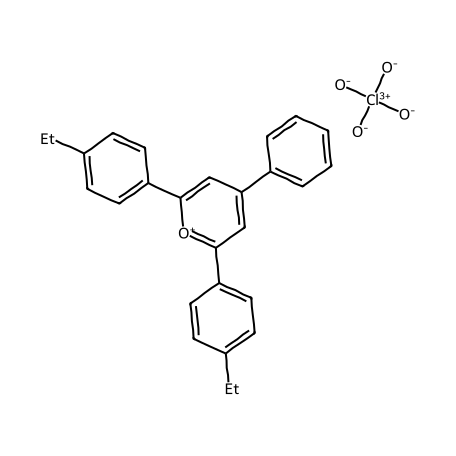 CCc1ccc(-c2cc(-c3ccccc3)cc(-c3ccc(CC)cc3)[o+]2)cc1.[O-][Cl+3]([O-])([O-])[O-]